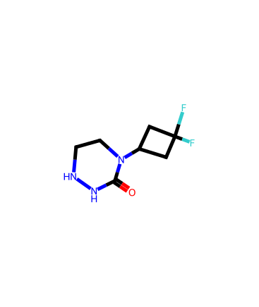 O=C1NNCCN1C1CC(F)(F)C1